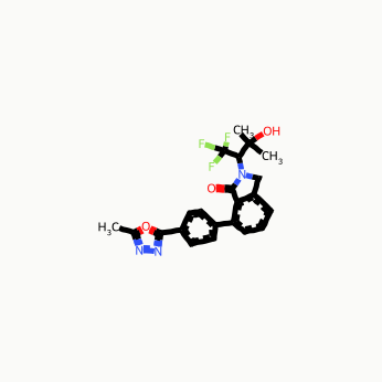 Cc1nnc(-c2ccc(-c3cccc4c3C(=O)N(C(C(C)(C)O)C(F)(F)F)C4)cc2)o1